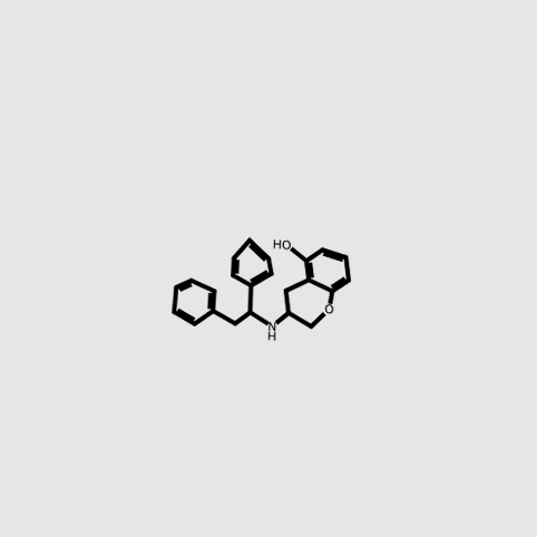 Oc1cccc2c1CC(NC(Cc1ccccc1)c1ccccc1)CO2